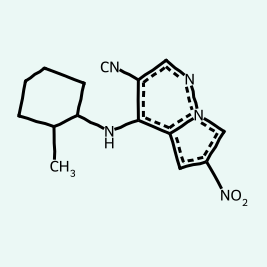 [C-]#[N+]c1cnn2cc([N+](=O)[O-])cc2c1NC1CCCCC1C